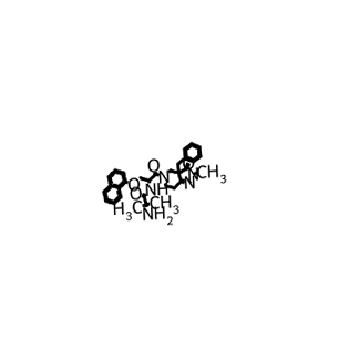 CN1N=C2CCN(C(=O)C(COc3cccc4ccccc34)NC(=O)C(C)(C)N)CC2(Cc2ccccc2)C1=O